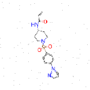 C=CC(=O)NC1CCN(S(=O)(=O)c2ccc(-n3cccn3)cc2)CC1